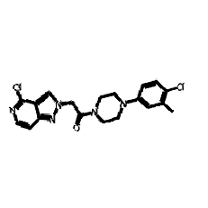 Cc1cc(N2CCN(C(=O)Cn3cc4c(Cl)nccc4n3)CC2)ccc1Cl